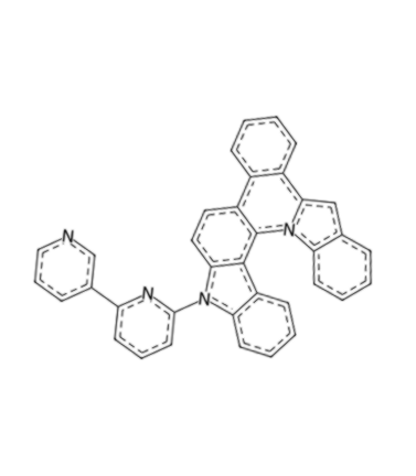 c1cncc(-c2cccc(-n3c4ccccc4c4c3ccc3c5ccccc5c5cc6ccccc6n5c34)n2)c1